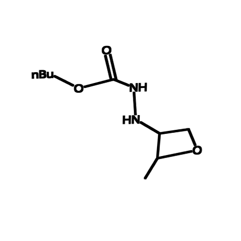 CCCCOC(=O)NNC1COC1C